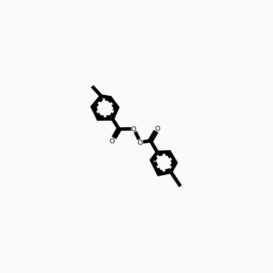 Cc1ccc(C(=O)OOC(=O)c2ccc(C)cc2)cc1